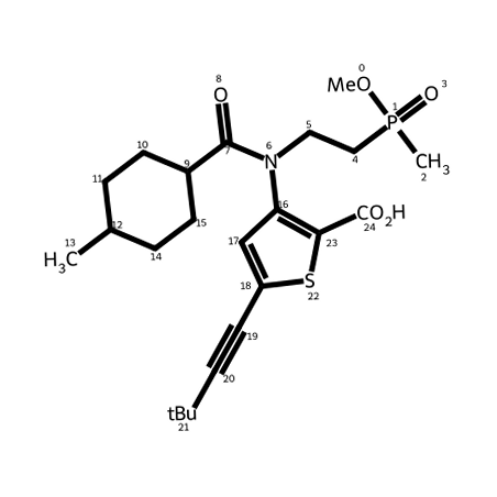 COP(C)(=O)CCN(C(=O)C1CCC(C)CC1)c1cc(C#CC(C)(C)C)sc1C(=O)O